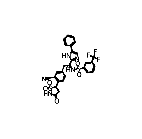 N#Cc1cc(C[C@H](NS(=O)(=O)c2cccc(C(F)(F)F)c2)c2ncc(-c3ccccc3)[nH]2)ccc1C1CC(=O)NS1(=O)=O